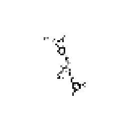 CCOC(Cc1ccc(OCCN(CCOCc2cc(Cl)cc(Cl)c2)C(=O)NCC(C)(C)C)cc1)C(=O)O